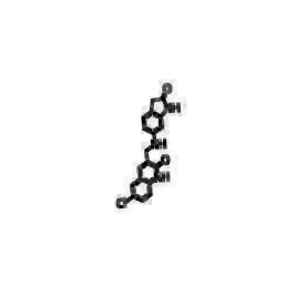 O=C1Cc2ccc(NCc3cc4cc(Cl)ccc4[nH]c3=O)cc2N1